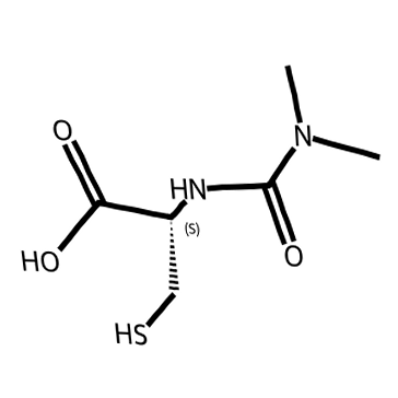 CN(C)C(=O)N[C@H](CS)C(=O)O